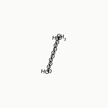 CC(=O)NCCOCCOCCOCCOCCOCCOCCOCCOCCC(=O)O